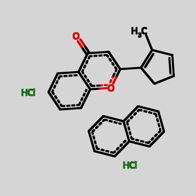 CC1=C(c2cc(=O)c3ccccc3o2)CC=C1.Cl.Cl.c1ccc2ccccc2c1